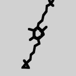 Cc1cc(CCCCCC2(C)CC2)c(C)c(C)c1CCCCCC1(C)CC1